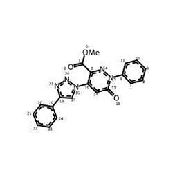 COC(=O)c1nn(-c2ccccc2)c(=O)cc1-n1cc(-c2ccccc2)nn1